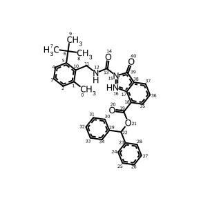 Cc1cccc(C(C)(C)C)c1CNC(=O)n1[nH]c2c(C(=O)OC(c3ccccc3)c3ccccc3)cccc2c1=O